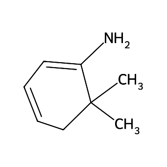 CC1(C)CC=CC=C1N